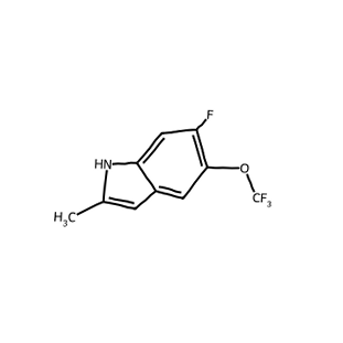 Cc1cc2cc(OC(F)(F)F)c(F)cc2[nH]1